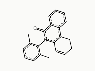 Cc1cccc(C)c1-n1c2c(c3ccccc3c1=O)CCC=C2